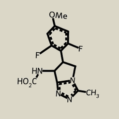 COc1cc(F)c(C2Cn3c(C)nnc3C2NC(=O)O)c(F)c1